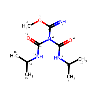 COC(=N)N(C(=O)NC(C)C)C(=O)NC(C)C